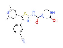 Cc1cc(-c2sc(NC(=O)N3CC(O)N[C@@H](C)C3)nc2-c2cccc(C#N)c2)cc(C)n1